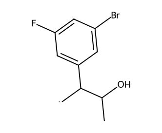 [CH2]C(c1cc(F)cc(Br)c1)C(C)O